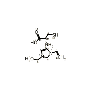 C=CN1C=CN(CC)C1.N[C@@H](CS)C(=O)O